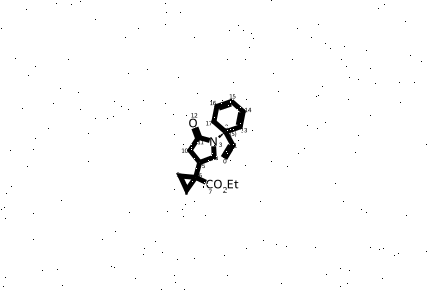 C=C[C@]1(N2CC(C3(C(=O)OCC)CC3)CC2=O)C=CC=CC1